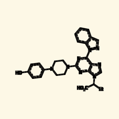 CCC(C(=O)O)n1cnc2c(-n3ncc4ccccc43)nc(N3CCN(c4ccc(O)cc4)CC3)nc21